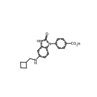 O=C(O)c1ccc(-n2c(=O)[nH]c3cc(NCC4CCC4)ccc32)cc1